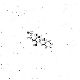 CC(C[C@H](O)[C@H](O)[C@@H](N)CC1CCCCC1)C(O)O